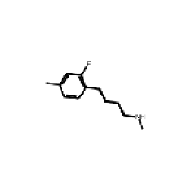 CNCCCCc1ccc(C)cc1F